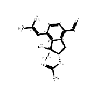 CC(=O)O[C@H]1Cc2c(C=O)ccc(C=C(C)C)c2[C@]1(C)O